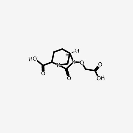 O=C(O)CON1C(=O)N2C[C@H]1CCC2C(=O)O